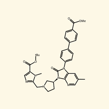 COC(=O)c1ccc(-c2ccc(-n3c(=O)n([C@H]4CCN(Cc5ncc(C(=O)OC(C)(C)C)n5C)C4)c4ncc(C)cc43)cc2)cc1